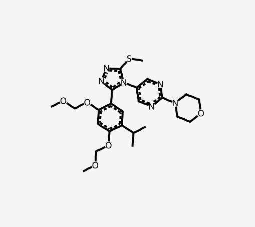 COCOc1cc(OCOC)c(C(C)C)cc1-c1nnc(SC)n1-c1cnc(N2CCOCC2)nc1